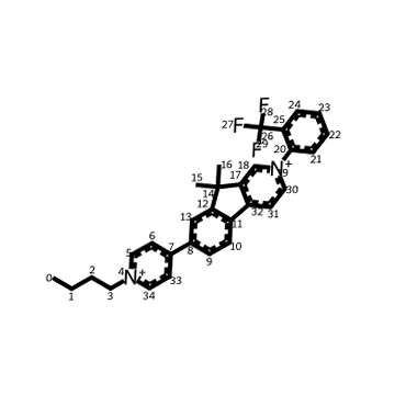 CCCC[n+]1ccc(-c2ccc3c(c2)C(C)(C)c2c[n+](-c4ccccc4C(F)(F)F)ccc2-3)cc1